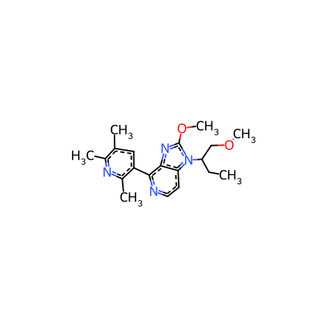 CCC(COC)n1c(OC)nc2c(-c3cc(C)c(C)nc3C)nccc21